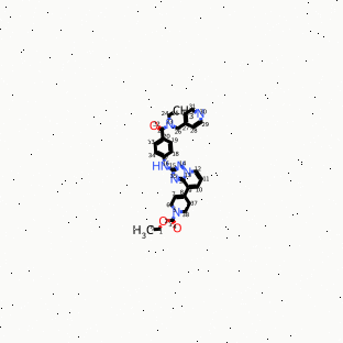 CCOC(=O)N1CC=C(c2cccn3nc(Nc4ccc(C(=O)N(CC)Cc5ccncc5)cc4)nc23)CC1